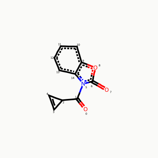 O=C(C1C=C1)n1c(=O)oc2ccccc21